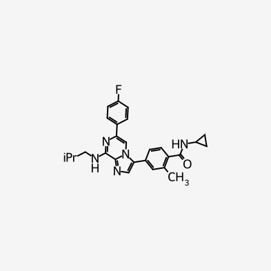 Cc1cc(-c2cnc3c(NCC(C)C)nc(-c4ccc(F)cc4)cn23)ccc1C(=O)NC1CC1